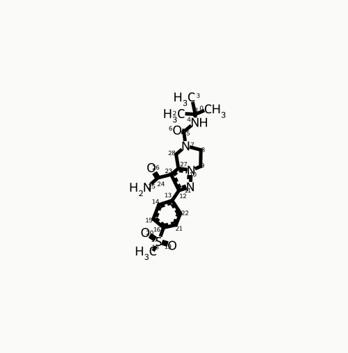 CC(C)(C)NC(=O)N1CCn2nc(-c3ccc(S(C)(=O)=O)cc3)c(C(N)=O)c2C1